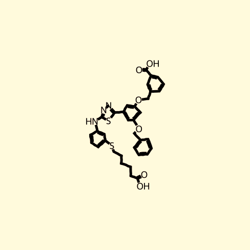 O=C(O)CCCCCSc1cccc(Nc2nnc(-c3cc(OCc4ccccc4)cc(OCc4cccc(C(=O)O)c4)c3)s2)c1